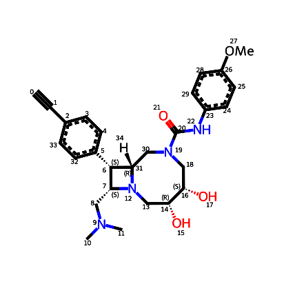 C#Cc1ccc([C@H]2[C@@H](CN(C)C)N3C[C@@H](O)[C@@H](O)CN(C(=O)Nc4ccc(OC)cc4)C[C@@H]23)cc1